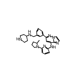 CC1CCCN1c1cccc(Nc2cc(-c3cccc(CNC4CCNCC4)c3)nn3ccnc23)n1